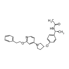 CC(=O)N[C@@H](C)c1ccc(O[C@@H]2CCN(c3ccnc(OCCc4ccccc4)c3)C2)cc1